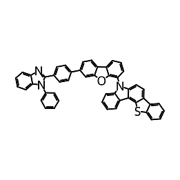 c1ccc(-n2c(-c3ccc(-c4ccc5c(c4)oc4c(-n6c7ccccc7c7c8sc9ccccc9c8ccc76)cccc45)cc3)nc3ccccc32)cc1